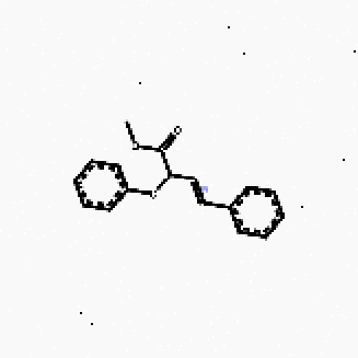 COC(=O)C(/C=C/c1ccccc1)Oc1ccccc1